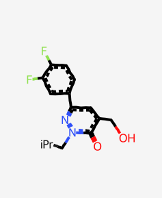 CC(C)Cn1nc(-c2ccc(F)c(F)c2)cc(CO)c1=O